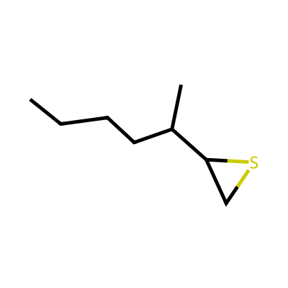 CCCCC(C)C1CS1